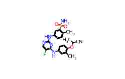 Cc1cc(Nc2nc(Nc3ccc(C)c(S(N)(=O)=O)c3)ncc2F)ccc1OC(C)C#N